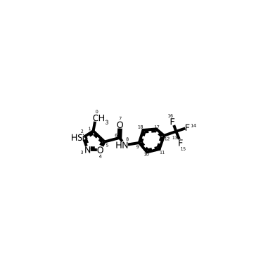 Cc1[siH]noc1C(=O)Nc1ccc(C(F)(F)F)cc1